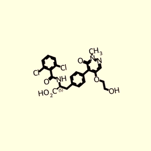 Cn1ncc(OCCO)c(-c2ccc(C[C@H](NC(=O)c3c(Cl)cccc3Cl)C(=O)O)cc2)c1=O